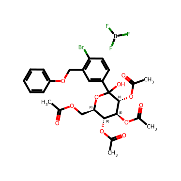 CC(=O)OC[C@H]1OC(O)(c2ccc(Br)c(COc3ccccc3)c2)[C@H](OC(C)=O)[C@@H](OC(C)=O)[C@@H]1OC(C)=O.FB(F)F